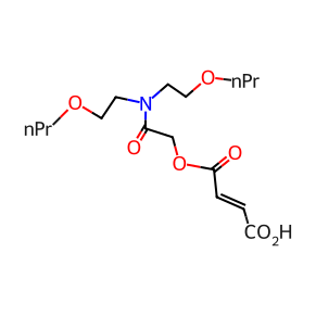 CCCOCCN(CCOCCC)C(=O)COC(=O)C=CC(=O)O